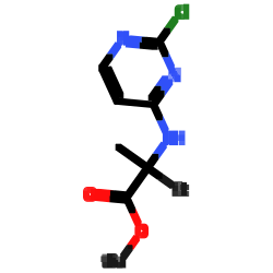 CCC(C)(Nc1ccnc(Cl)n1)C(=O)OC(C)(C)C